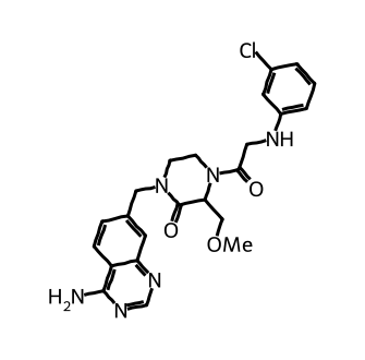 COCC1C(=O)N(Cc2ccc3c(N)ncnc3c2)CCN1C(=O)CNc1cccc(Cl)c1